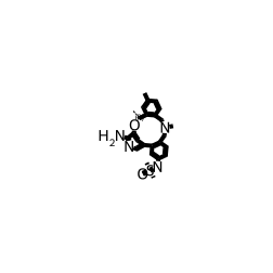 Cc1ccc2c(c1)[C@@H](C)Oc1cc(cnc1N)-c1cc(N=S(C)(C)=O)ccc1CN(C)C2